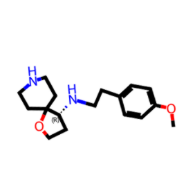 COc1ccc(CCN[C@@H]2CCOC23CCNCC3)cc1